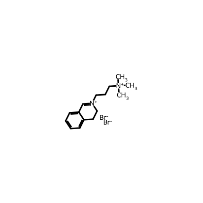 C[N+](C)(C)CCC[N+]1=Cc2ccccc2CC1.[Br-].[Br-]